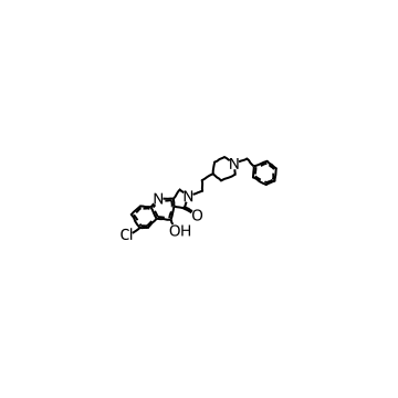 O=C1c2c(nc3ccc(Cl)cc3c2O)CN1CCC1CCN(Cc2ccccc2)CC1